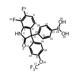 O=C1Nc2c(ccc(F)c2F)C1(c1ccc(OC(F)(F)F)cc1)c1ccc(B(O)O)cc1